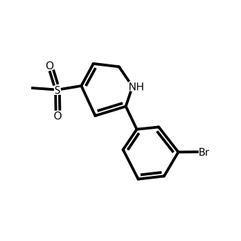 CS(=O)(=O)C1=CCNC(c2cccc(Br)c2)=C1